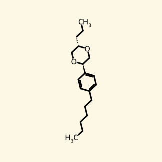 CCCCCCc1ccc([C@@H]2CO[C@@H](CCC)CO2)cc1